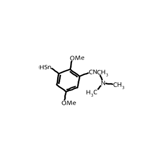 CN(C)C.COc1c[c]([SnH])c(OC)c(C#N)c1